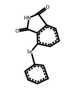 O=C1NC(=O)c2c([Se]c3ccccc3)cccc21